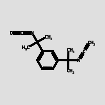 C=C=NC(C)(C)c1cccc(C(C)(C)N=C=O)c1